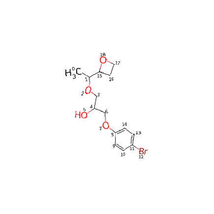 CC(OCC(O)COc1ccc(Br)cc1)C1CCO1